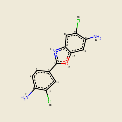 Nc1ccc(-c2nc3cc(Cl)c(N)cc3o2)cc1Cl